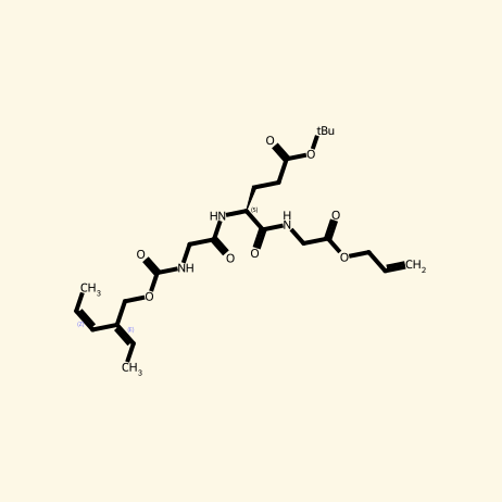 C=CCOC(=O)CNC(=O)[C@H](CCC(=O)OC(C)(C)C)NC(=O)CNC(=O)OCC(/C=C\C)=C/C